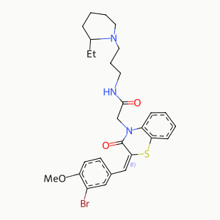 CCC1CCCCN1CCCNC(=O)CN1C(=O)/C(=C\c2ccc(OC)c(Br)c2)Sc2ccccc21